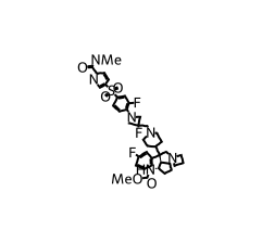 CNC(=O)c1ccc(S(=O)(=O)c2ccc(N3CC(F)(CN4CCC(C(CN5CCC5)(c5cccc(F)c5)[C@H]5CCC[C@@H]5NC(=O)OC)CC4)C3)c(F)c2)cn1